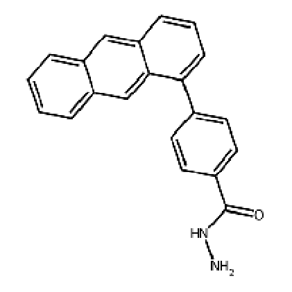 NNC(=O)c1ccc(-c2cccc3cc4ccccc4cc23)cc1